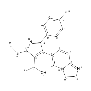 CC(O)c1c(-c2ccc3nccn3c2)c(-c2ccc(F)cc2)nn1SF